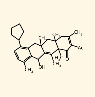 CC(=O)C1=C(C)CC2(C)CC3(C)Cc4c(C5CCCC5)ccc(C)c4C(O)C3=C(C)C2(C)C1=O